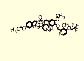 CCOc1ccc(CNC(=O)N(Cc2ccc(OCc3nccc(OCC(F)(F)F)c3C)c(OC)c2)C2(C)CCNCC2)cc1